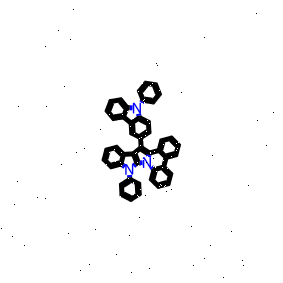 c1ccc(-n2c3ccccc3c3cc(-c4c5c6ccccc6n(-c6ccccc6)c5n5c6ccccc6c6ccccc6c45)ccc32)cc1